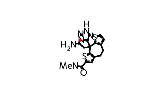 CNC(=O)c1cc2c(s1)C(C[C@@H](C)N)(c1nn[nH]n1)c1sccc1CC2